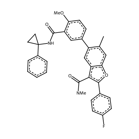 CNC(=O)c1c(-c2ccc(F)cc2)oc2cc(C)c(-c3ccc(OC)c(C(=O)NC4(c5ccccc5)CC4)c3)cc12